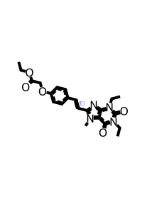 CCOC(=O)COc1ccc(/C=C/c2nc3c(c(=O)n(CC)c(=O)n3CC)n2C)cc1